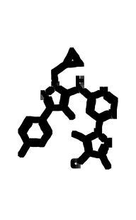 Cc1ccc(-c2nn(CC3CC3)c(Nc3cc(-n4nc(C)c(Cl)c4C)ncn3)c2C)cc1